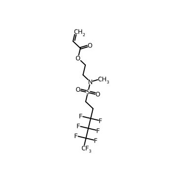 C=CC(=O)OCCN(C)S(=O)(=O)CCC(F)(F)C(F)(F)C(F)(F)C(F)(F)F